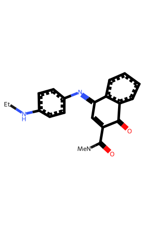 CCNc1ccc(N=C2C=C(C(=O)NC)C(=O)c3ccccc32)cc1